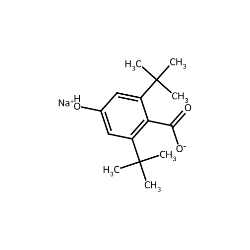 CC(C)(C)c1cc(O)cc(C(C)(C)C)c1C(=O)[O-].[Na+]